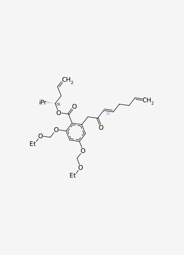 C=CCC/C=C/C(=O)Cc1cc(OCOCC)cc(OCOCC)c1C(=O)O[C@@H](CC=C)C(C)C